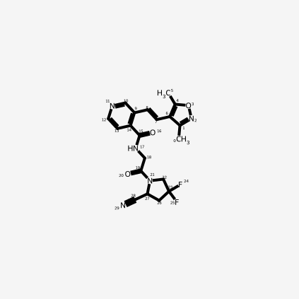 Cc1noc(C)c1/C=C/c1cnccc1C(=O)NCC(=O)N1CC(F)(F)CC1C#N